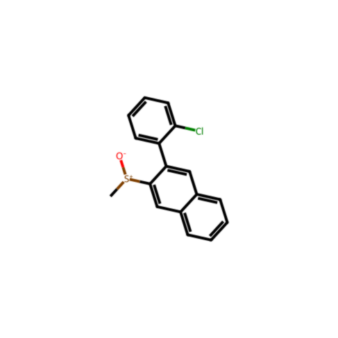 C[S+]([O-])c1cc2ccccc2cc1-c1ccccc1Cl